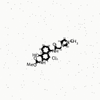 COC(=O)Nc1ccc2c(NC(=O)Cn3cc[n+](C)c3)cccc2c1O.[Cl-]